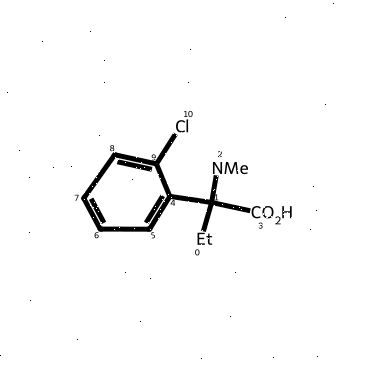 CCC(NC)(C(=O)O)c1ccccc1Cl